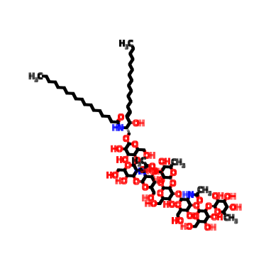 CCCCCCCCCCCCC/C=C/[C@@H](O)[C@H](CO[C@@H]1OC(CO)[C@@H](O[C@@H]2OC(CO)[C@H](O)[C@H](O[C@@H]3OC(CO)[C@@H](O[C@@H]4OC(CO)[C@H](O)[C@H](O[C@H]5OC(CO)[C@H](O)[C@H](O[C@@H]6OC(CO)[C@H](O)[C@H](O)C6O[C@H]6OC(C)[C@@H](O)C(O)[C@@H]6O)C5NC(C)=O)C4O[C@H]4OC(C)[C@@H](O)C(O)[C@@H]4O)[C@H](O)C3NC(C)=O)C2O)[C@H](O)C1O)NC(=O)CCCCCCCCCCCCCCCCC